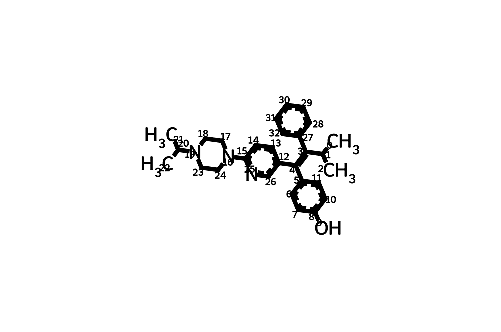 CC(C)/C(=C(\c1ccc(O)cc1)c1ccc(N2CCN(C(C)C)CC2)nc1)c1ccccc1